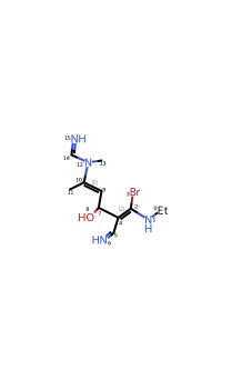 CCN/C(Br)=C(\C=N)C(O)/C=C(\C)N(C)C=N